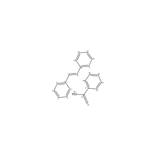 C(=Cc1ccccc1)c1ccccc1.O=C(O)c1ccccc1